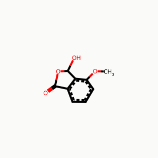 COc1cccc2c1C(O)OC2=O